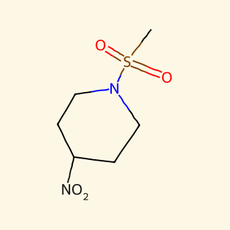 CS(=O)(=O)N1CCC([N+](=O)[O-])CC1